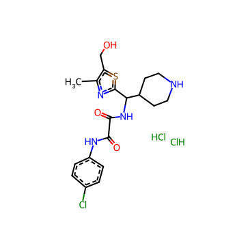 Cc1nc(C(NC(=O)C(=O)Nc2ccc(Cl)cc2)C2CCNCC2)sc1CO.Cl.Cl